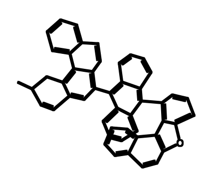 CC1C=Cc2cc(-c3c4ccccc4c(-c4cccc5oc6ccc7ccccc7c6c45)c4ccccc34)c3ccc4ccccc4c3c2C1